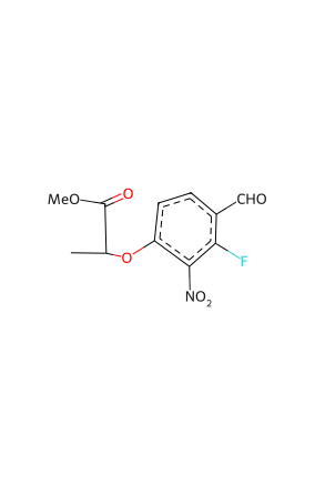 COC(=O)C(C)Oc1ccc(C=O)c(F)c1[N+](=O)[O-]